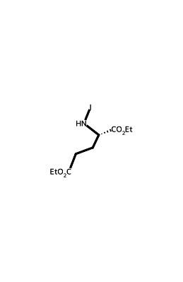 CCOC(=O)CC[C@H](NI)C(=O)OCC